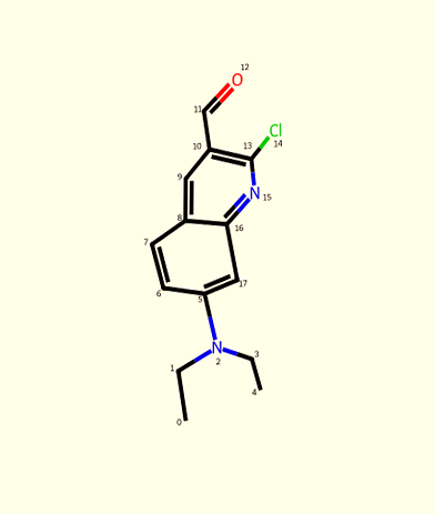 CCN(CC)c1ccc2cc(C=O)c(Cl)nc2c1